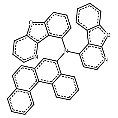 c1ccc2c(c1)ccc1cc(N(c3ccnc4oc5ccccc5c34)c3cccc4oc5cccnc5c34)c3ccccc3c12